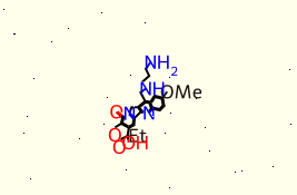 CC[C@@]1(O)C(=O)OCc2c1cc1n(c2=O)Cc2c-1nc1ccc(OC)cc1c2CNCCCN